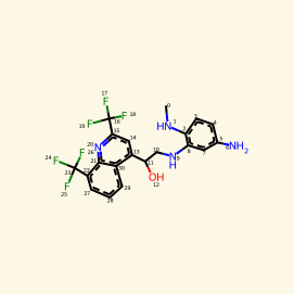 CNc1ccc(N)cc1NCC(O)c1cc(C(F)(F)F)nc2c(C(F)(F)F)cccc12